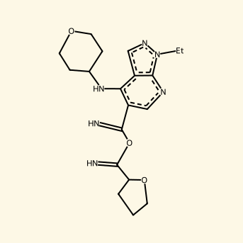 CCn1ncc2c(NC3CCOCC3)c(C(=N)OC(=N)C3CCCO3)cnc21